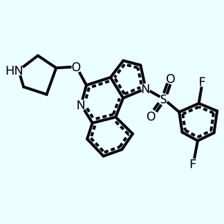 O=S(=O)(c1cc(F)ccc1F)n1ccc2c(OC3CCNC3)nc3ccccc3c21